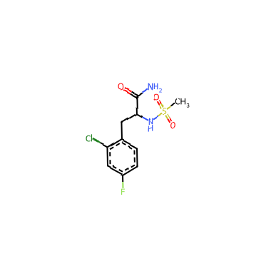 CS(=O)(=O)NC(Cc1ccc(F)cc1Cl)C(N)=O